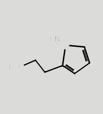 CCCc1ccco1.N